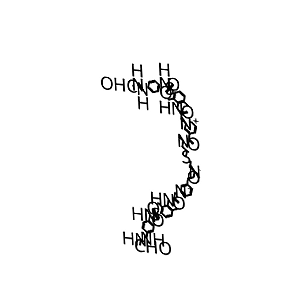 Cc1ccc(S(=O)(=O)Nc2ccc(NNC=O)cc2)c(C)c1NC(=O)C[n+]1cccc(CON(C)CCSCCN(C)C(=O)c2ccc[n+](CC(=O)Nc3c(C)ccc(S(=O)(=O)Nc4ccc(NNC=O)cc4)c3C)c2)c1